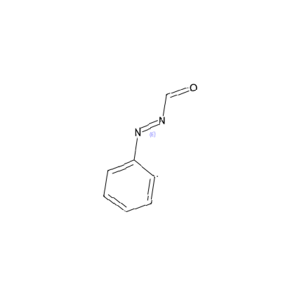 O=C/N=N/c1[c]cccc1